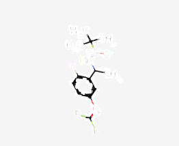 CC(N[S@+]([O-])C(C)(C)C)c1cc(OC(F)F)ccc1F